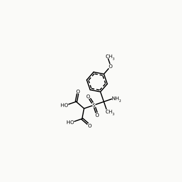 COc1cccc(C(C)(N)S(=O)(=O)C(C(=O)O)C(=O)O)c1